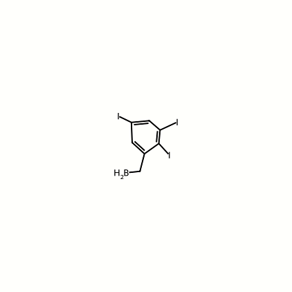 BCc1cc(I)cc(I)c1I